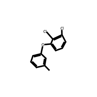 Cc1[c]ccc(Oc2cccc(Cl)c2Cl)c1